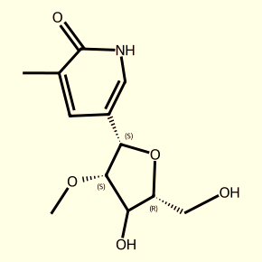 CO[C@H]1C(O)[C@@H](CO)O[C@H]1c1c[nH]c(=O)c(C)c1